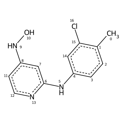 Cc1ccc(Nc2cc(NO)ccn2)cc1Cl